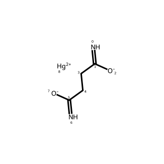 N=C([O-])CCC(=N)[O-].[Hg+2]